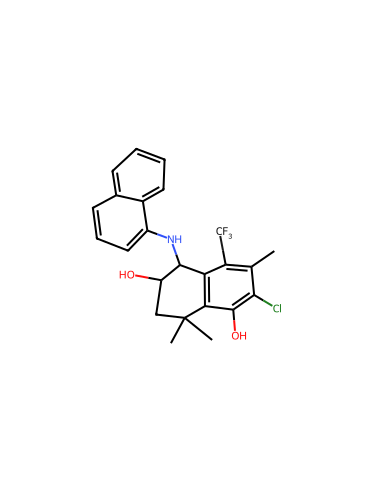 Cc1c(Cl)c(O)c2c(c1C(F)(F)F)C(Nc1cccc3ccccc13)C(O)CC2(C)C